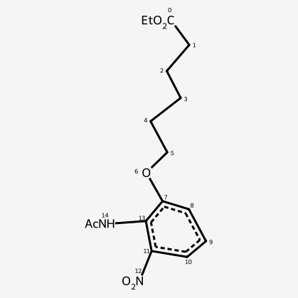 CCOC(=O)CCCCCOc1cccc([N+](=O)[O-])c1NC(C)=O